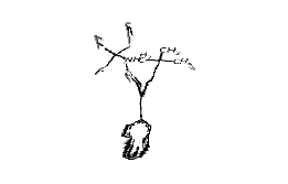 CC(C)(C)CC(=NNC(F)(F)F)c1ccccc1